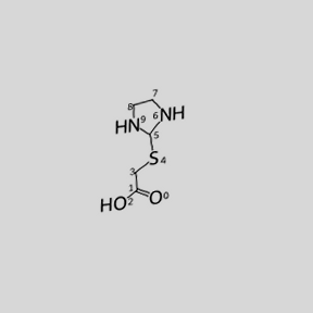 O=C(O)CSC1NCCN1